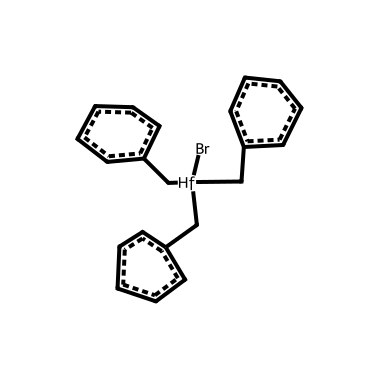 [Br][Hf]([CH2]c1ccccc1)([CH2]c1ccccc1)[CH2]c1ccccc1